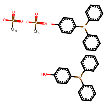 O=S(=O)([O-])C(F)(F)F.O=S(=O)([O-])C(F)(F)F.Oc1ccc([S+](c2ccccc2)c2ccccc2)cc1.Oc1ccc([S+](c2ccccc2)c2ccccc2)cc1